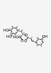 O=C(/C=C/c1cccc(O)c1)O[C@H](Cc1ccc(O)c(O)c1)C(=O)O